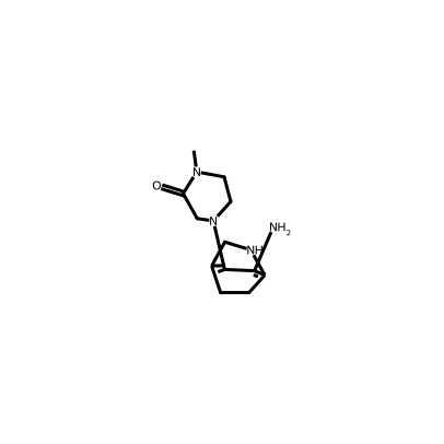 CN1CCN(C2=C3CCC(=C2N)NC3)CC1=O